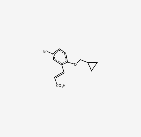 O=C(O)C=Cc1cc(Br)ccc1OCC1CC1